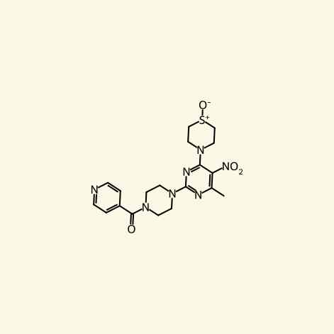 Cc1nc(N2CCN(C(=O)c3ccncc3)CC2)nc(N2CC[S+]([O-])CC2)c1[N+](=O)[O-]